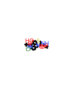 CC(C)(C)OC(=O)N[C@H]1CSc2cc(O)c(-c3nnc(C(C)(C)C)o3)cc2N(Cc2ccc(Cl)cc2)C1=O